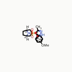 COc1ccc(O[C@@H]2C[C@H]3CC[C@@H](C2)N3S(=O)(=O)c2c(C)n[nH]c2C)cc1